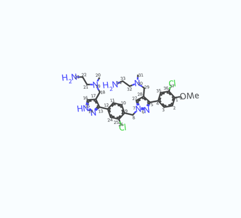 COc1ccc(-c2nn(Cc3ccc(-c4n[nH]cc4CN(C)CCN)cc3Cl)cc2CN(C)CCN)cc1Cl